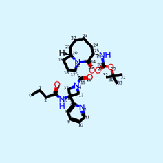 CCCC(=O)NC1(c2ccccn2)CN(C(=O)[C@@H]2CC[C@@H]3CCCC[C@H](NC(=O)OC(C)(C)C)C(=O)N32)C1